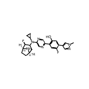 Cn1cc(-c2cc(O)c(-c3cnc(N(C4CC4)C4C[C@H]5CC[C@H](N5)C4F)cn3)cc2F)cn1